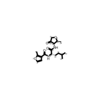 Cc1occc1C(=O)N[C@@H](CCC(C)C)C(=O)N[C@@H]1C(=O)CO[C@H]1C